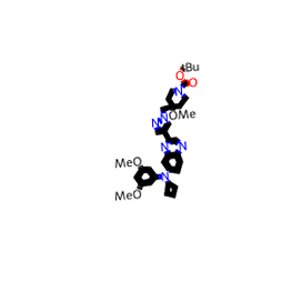 COc1cc(OC)cc(N(c2ccc3ncc(-c4cnn(CC5(OC)CCN(C(=O)OC(C)(C)C)CC5)c4)nc3c2)C2CCC2)c1